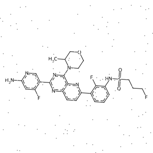 CC1COCCN1c1nc(-c2cnc(N)cc2F)nc2ccc(-c3cccc(NS(=O)(=O)CCCF)c3F)nc12